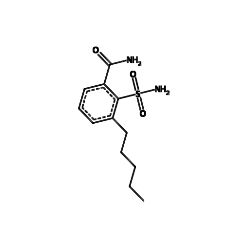 CCCCCc1cccc(C(N)=O)c1S(N)(=O)=O